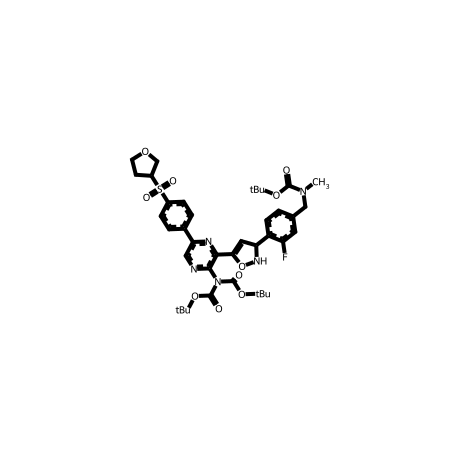 CN(Cc1ccc(C2C=C(c3nc(-c4ccc(S(=O)(=O)C5CCOC5)cc4)cnc3N(C(=O)OC(C)(C)C)C(=O)OC(C)(C)C)ON2)c(F)c1)C(=O)OC(C)(C)C